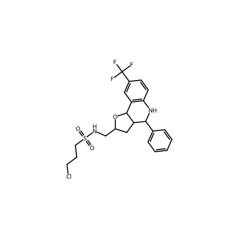 O=S(=O)(CCCCl)NCC1CC2C(c3ccccc3)Nc3ccc(C(F)(F)F)cc3C2O1